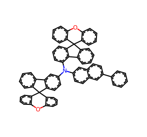 c1ccc(-c2ccc3cc(N(c4ccc5c(c4)-c4ccccc4C54c5ccccc5Oc5ccccc54)c4cccc5c4-c4ccccc4C54c5ccccc5Oc5ccccc54)ccc3c2)cc1